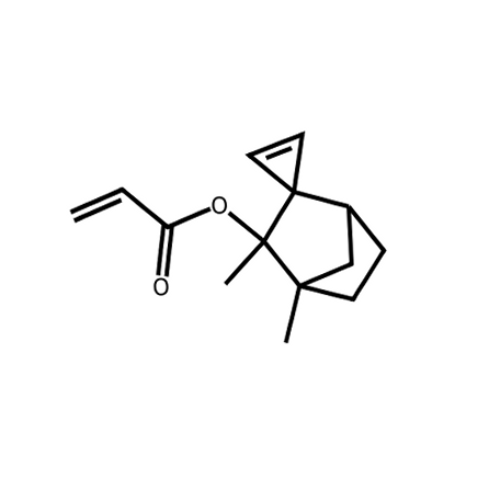 C=CC(=O)OC1(C)C2(C)CCC(C2)C12C=C2